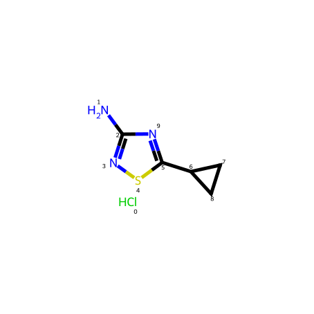 Cl.Nc1nsc(C2CC2)n1